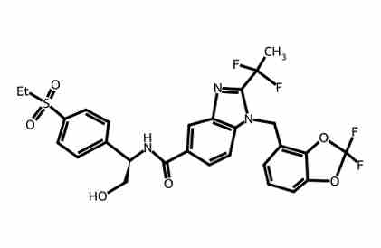 CCS(=O)(=O)c1ccc([C@H](CO)NC(=O)c2ccc3c(c2)nc(C(C)(F)F)n3Cc2cccc3c2OC(F)(F)O3)cc1